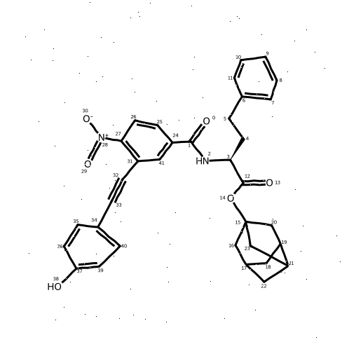 O=C(N[C@@H](CCc1ccccc1)C(=O)OC12CC3CC(C1)C(C3)C2)c1ccc([N+](=O)[O-])c(C#Cc2ccc(O)cc2)c1